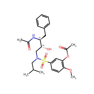 BC(=O)N[C@@H](Cc1ccccc1)[C@H](O)CN(CC(C)C)S(=O)(=O)c1ccc(OC)c(OC(C)=O)c1